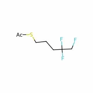 CC(=O)SCCCC(F)(F)CF